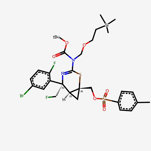 Cc1ccc(S(=O)(=O)OC[C@@]23C[C@H]2[C@@](CF)(c2cc(Br)ccc2F)N=C(N(COCC[Si](C)(C)C)C(=O)OC(C)(C)C)S3)cc1